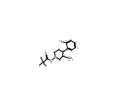 CC(C)(C)C(=O)ON1CCC(c2ccccc2F)C(N)C1